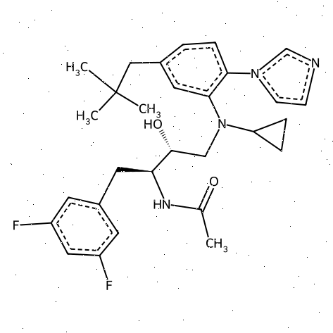 CC(=O)N[C@@H](Cc1cc(F)cc(F)c1)[C@H](O)CN(c1cc(CC(C)(C)C)ccc1-n1ccnc1)C1CC1